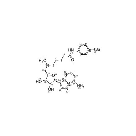 CN(CCCCC(=O)Nc1ccc(C(C)(C)C)cc1)C[C@H]1O[C@@H](n2cnc3c(N)ccnc32)C(O)C1O